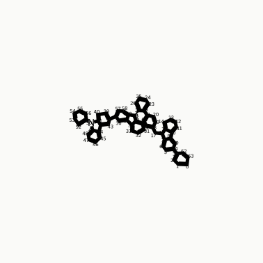 c1ccc(-c2ccc3c(c2)-c2ccccc2C3Cc2ccc(-c3ccccc3[C@H]3c4ccccc4-c4cc(-c5ccc6c(c5)c5ccccc5n6-c5ccccc5)ccc43)cc2)cc1